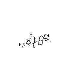 Cc1nc(N)sc1C(=O)Nc1cccc2c1CCC2(C)C